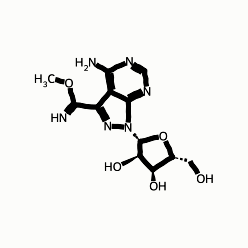 COC(=N)c1nn([C@@H]2O[C@H](CO)[C@@H](O)[C@H]2O)c2ncnc(N)c12